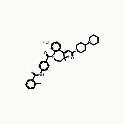 Cc1ccccc1C(=O)Nc1ccc(C(=O)N2CCC(F)(F)/C(=C\C(=O)N3CCC(N4CCCCC4)CC3)c3ccccc32)cc1.Cl